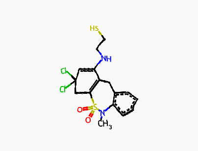 CN1c2ccccc2CC2=C(CC(Cl)(Cl)C=C2NCCS)S1(=O)=O